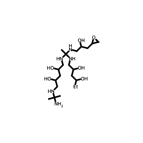 CCC(O)CC(O)CNC(C)(NCC(O)CC(O)CNC(C)(C)N)NCC(O)CC1CO1